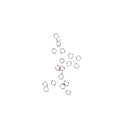 c1ccc(-c2ccc(N(c3ccc(-c4cc5oc6ccccc6c5cc4-c4ccccc4)cc3)c3ccc4c(c3)C(c3ccccc3)(c3ccc(-c5ccc6oc7cc(N(c8ccc(-c9ccccc9)cc8)c8ccc(-c9cccc%10ccccc9%10)cc8)c(-c8ccccc8)cc7c6c5)cc3)c3ccccc3-4)cc2)cc1